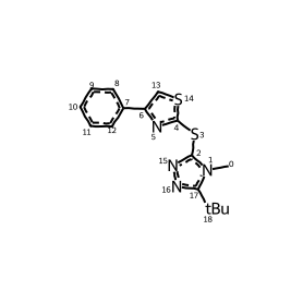 Cn1c(Sc2nc(-c3ccccc3)cs2)nnc1C(C)(C)C